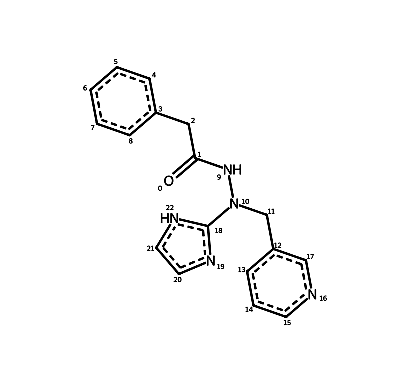 O=C(Cc1ccccc1)NN(Cc1cccnc1)c1ncc[nH]1